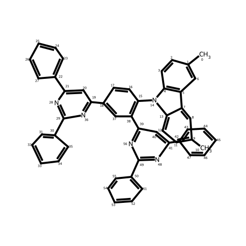 Cc1ccc2c(c1)c1cc(C)ccc1n2-c1ccc(-c2cc(-c3ccccc3)nc(-c3ccccc3)n2)cc1-c1cc(-c2ccccc2)nc(-c2ccccc2)n1